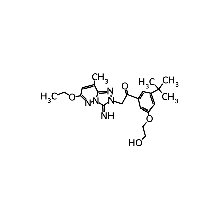 CCOc1cc(C)c2nn(CC(=O)c3cc(OCCO)cc(C(C)(C)C)c3)c(=N)n2n1